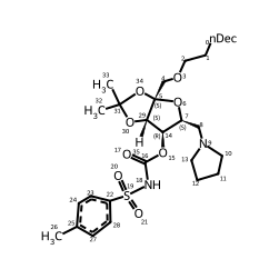 CCCCCCCCCCCCOC[C@@]12O[C@@H](CN3CCCC3)[C@@H](OC(=O)NS(=O)(=O)c3ccc(C)cc3)[C@@H]1OC(C)(C)O2